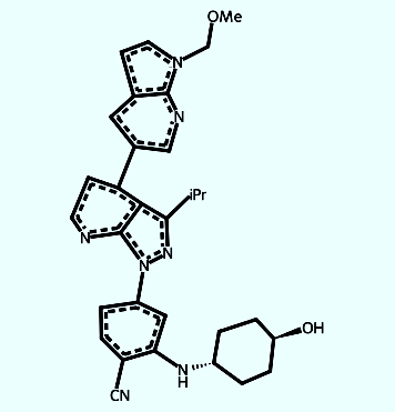 COCn1ccc2cc(-c3ccnc4c3c(C(C)C)nn4-c3ccc(C#N)c(N[C@H]4CC[C@H](O)CC4)c3)cnc21